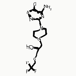 Nc1nc(N2CCN(CC(O)COCC(F)(F)F)CC2)nnc1Cl